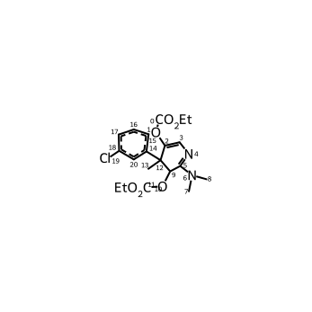 CCOC(=O)OC1=CN=C(N(C)C)C(OC(=O)OCC)C1(C)c1cccc(Cl)c1